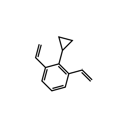 C=[C]c1cccc(C=C)c1C1CC1